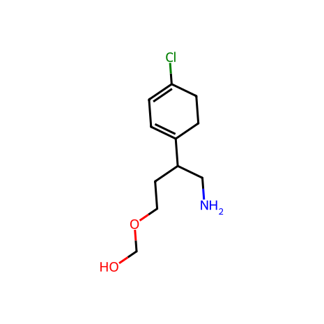 NCC(CCOCO)C1=CC=C(Cl)CC1